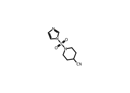 N#CC1CCN(S(=O)(=O)n2ccnc2)CC1